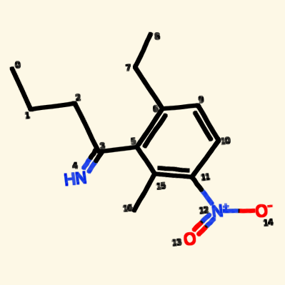 CCCC(=N)c1c(CC)ccc([N+](=O)[O-])c1C